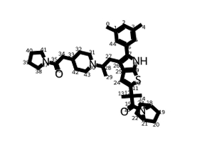 Cc1cc(C)cc(-c2[nH]c3sc(C(C)(C)C(=O)N4C5CCC4CC5)cc3c2CC(C)N2CCC(CC(=O)N3CCCC3)CC2)c1